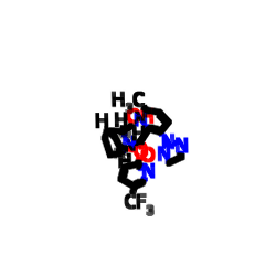 Cc1ccc(-n2nccn2)c(C(=O)N2[C@H](CO)[C@@H]3CC[C@H]2[C@H](Oc2ccc(C(F)(F)F)cn2)C3)n1